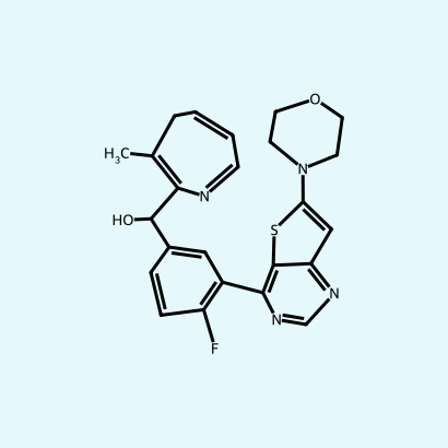 CC1=C(C(O)c2ccc(F)c(-c3ncnc4cc(N5CCOCC5)sc34)c2)N=CC=CC1